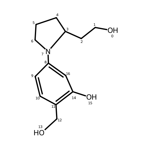 OCCC1CCCN1c1ccc(CO)c(O)c1